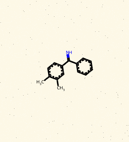 Cc1ccc(C(=N)c2ccccc2)cc1C